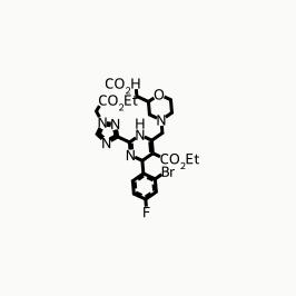 CCOC(=O)Cn1cnc(C2=NC(c3ccc(F)cc3Br)C(C(=O)OCC)=C(CN3CCOC(CC(=O)O)C3)N2)n1